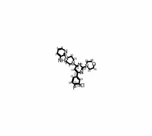 Nc1cccnc1N1CCN(c2cc(-c3ccc(F)c(Cl)c3)nc(N3CCOCC3)n2)CC1